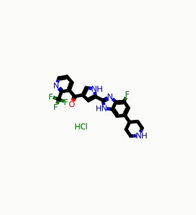 Cl.O=C(c1c[nH]c(-c2nc3c(F)cc(C4CCNCC4)cc3[nH]2)c1)c1cccnc1C(F)(F)F